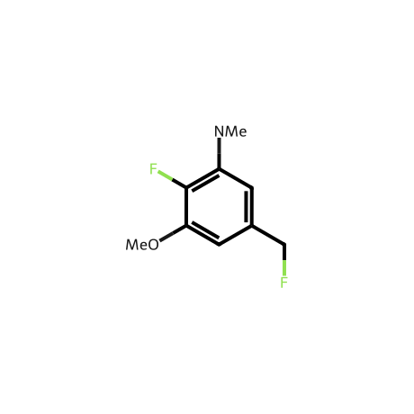 CNc1cc(CF)cc(OC)c1F